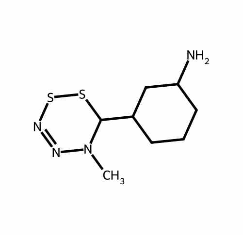 CN1N=NSSC1C1CCCC(N)C1